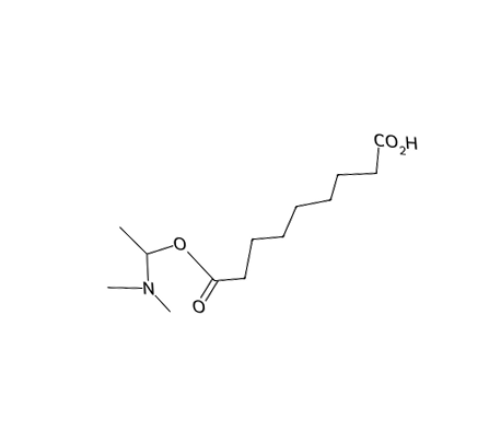 CC(OC(=O)CCCCCCCC(=O)O)N(C)C